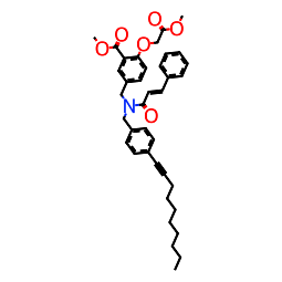 CCCCCCCCC#Cc1ccc(CN(Cc2ccc(OCC(=O)OC)c(C(=O)OC)c2)C(=O)/C=C/c2ccccc2)cc1